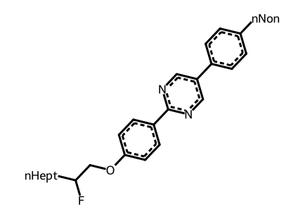 CCCCCCCCCc1ccc(-c2cnc(-c3ccc(OCC(F)CCCCCCC)cc3)nc2)cc1